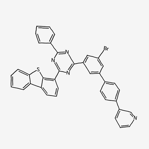 Brc1cc(-c2ccc(-c3cccnc3)cc2)cc(-c2nc(-c3ccccc3)nc(-c3cccc4c3sc3ccccc34)n2)c1